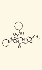 Cc1cc2c(cc3n2CC(C)(C(=O)NC2CCCCCCC2)N(CCN2CCCCCC2)C3=O)o1